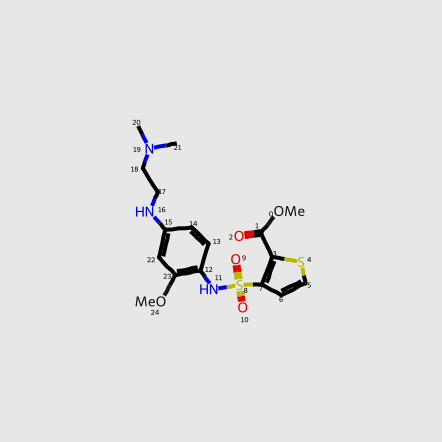 COC(=O)c1sccc1S(=O)(=O)Nc1ccc(NCCN(C)C)cc1OC